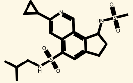 CC(C)CNS(=O)(=O)c1cc2c(c3cnc(C4CC4)cc13)C(NS(C)(=O)=O)CC2